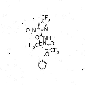 C=CC[C@@](OCc1ccccc1)(C(=O)NNC(=O)c1ncc(C(F)(F)F)cc1[N+](=O)[O-])C(F)(F)F